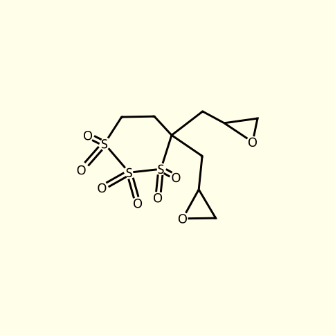 O=S1(=O)CCC(CC2CO2)(CC2CO2)S(=O)(=O)S1(=O)=O